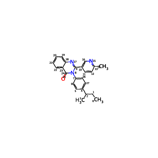 CCC(C)c1ccc(-n2c(-c3ccc(C)nc3)nc3ccccc3c2=O)cc1